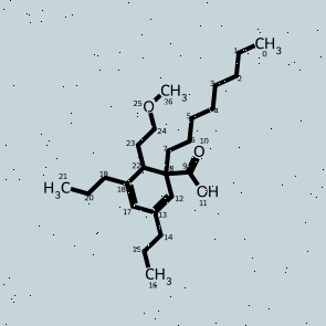 CCCCCCCCC1(C(=O)O)C=C(CCC)C=C(CCC)C1CCOC